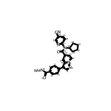 CNC(=O)c1ccc(-c2cnn3ccc(C(=O)N(c4ccc(C#N)cn4)C4CCCC4)cc23)cc1